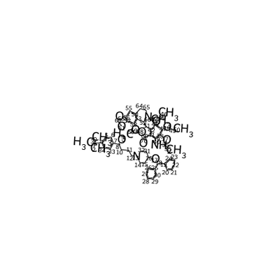 CC(C)(C)c1ccc(C(=O)CCCN2CCC(OC(c3ccccc3)c3ccccc3)CC2)cc1.CCOc1c(N)c2c(c(OCC)c1OCC)C(C1c3c(cc4c(c3OC)OCO4)CCN1C)OC2=O